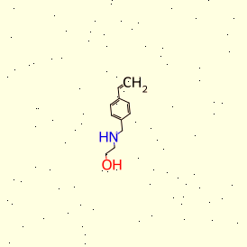 C=Cc1ccc(CNCCO)cc1